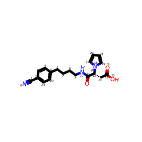 N#Cc1ccc(CCCCNC(=O)[C@@H](CC(=O)O)n2cccc2)cc1